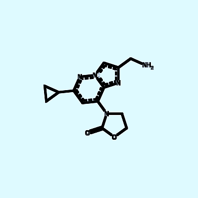 NCc1cn2nc(C3CC3)cc(N3CCOC3=O)c2n1